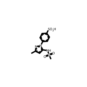 Cc1cc(NS(C)(=O)=O)n(-c2ccc(S(=O)(=O)O)cc2)n1